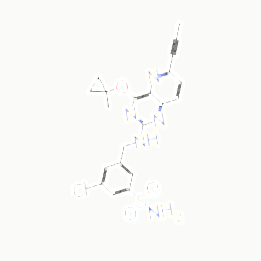 CC#Cc1ccc2nc(NCc3cc(Cl)cc(S(N)(=O)=O)c3)nc(OC3(C)CC3)c2n1